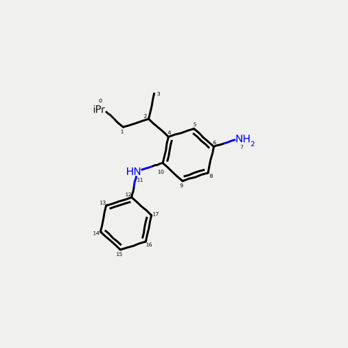 CC(C)CC(C)c1cc(N)ccc1Nc1ccccc1